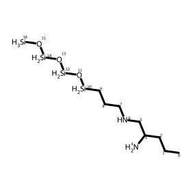 CCCC(N)CNCCC[SiH2]O[SiH2]O[SiH2]O[SiH3]